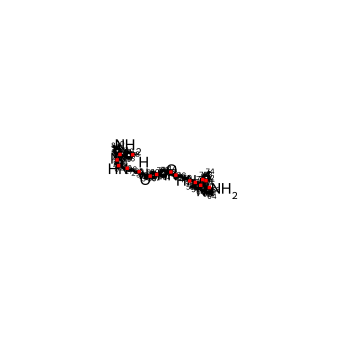 CC1=CC2=Nc3cc(C)c(N)cc3N(c3ccc(C)cc3C)C2C=C1NCCCCCCNC(=O)c1ccc(-c2ccc(C(=O)NCCCCCCNc3cc4c(cc3C)nc3cc(C)c(N)cc3[n+]4-c3ccc(C)cc3C)cc2)cc1